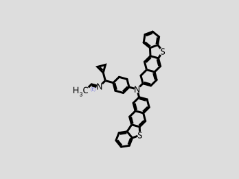 C/C=N/C(C1=CC1)C1=CC=C(N(C2=CC=C3C=c4sc5ccccc5c4=CC3C2)c2ccc3cc4sc5ccccc5c4cc3c2)CC1